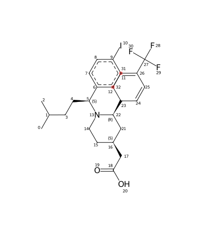 CC(C)CC[C@@H](c1ccc(I)cc1)N1CC[C@H](CC(=O)O)C[C@@H]1C1C=CC(C(F)(F)F)=CC1